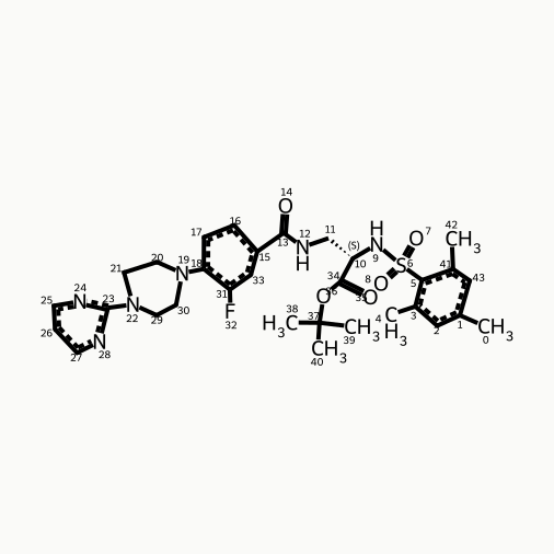 Cc1cc(C)c(S(=O)(=O)N[C@@H](CNC(=O)c2ccc(N3CCN(c4ncccn4)CC3)c(F)c2)C(=O)OC(C)(C)C)c(C)c1